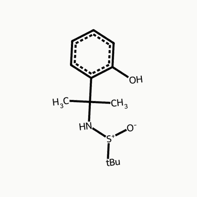 CC(C)(N[S+]([O-])C(C)(C)C)c1ccccc1O